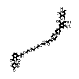 Cc1cc(C)c(CNC(=O)c2cc(-c3ccc(N4CCN(CCC(=O)NCCOCCOCCOCCOCCNc5cccc6c5C(=O)N(C5CCC(=O)NC5=O)C6=O)CC4)nc3)cc(NC(C)C)c2C=N)c(=O)[nH]1